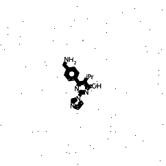 CC(C)c1c(O)nc(-n2ccnc2)nc1-c1ccc(CN)cc1